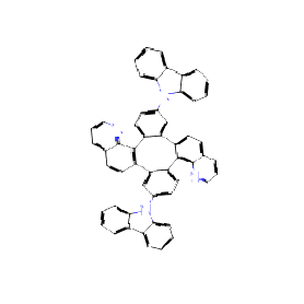 c1cnc2c3c(ccc2c1)-c1cc(-n2c4ccccc4c4ccccc42)ccc1-c1c(ccc2cccnc12)-c1cc(-n2c4ccccc4c4ccccc42)ccc1-3